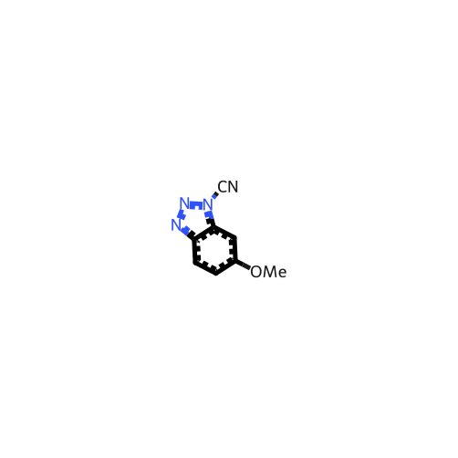 COc1ccc2nnn(C#N)c2c1